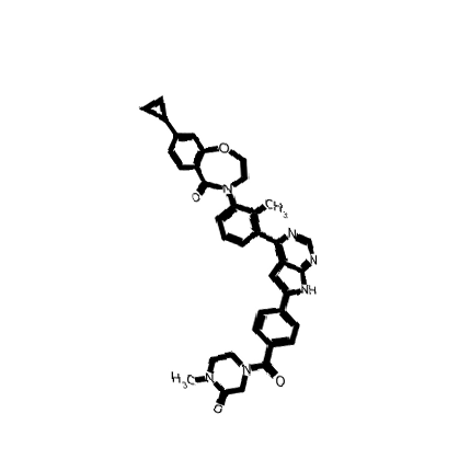 Cc1c(-c2ncnc3[nH]c(-c4ccc(C(=O)N5CCN(C)C(=O)C5)cc4)cc23)cccc1N1CCOc2cc(C3CC3)ccc2C1=O